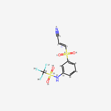 N#C/C=C/S(=O)(=O)c1cccc(NS(=O)(=O)C(F)(F)F)c1